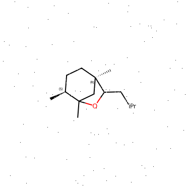 CC(C)CC1OC2(C)C[C@@]1(C)CC[C@@H]2C